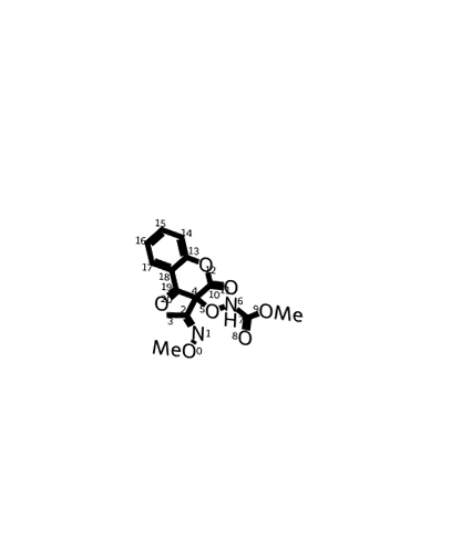 CO/N=C(\C)C1(ONC(=O)OC)C(=O)Oc2ccccc2C1=O